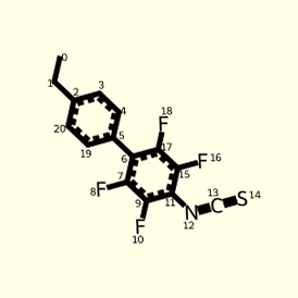 CCc1ccc(-c2c(F)c(F)c(N=C=S)c(F)c2F)cc1